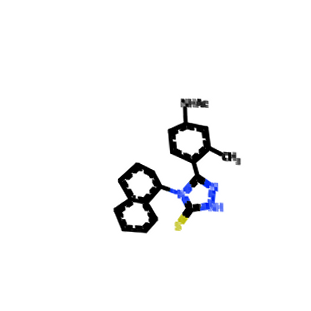 CC(=O)Nc1ccc(-c2n[nH]c(=S)n2-c2cccc3ccccc23)c(C)c1